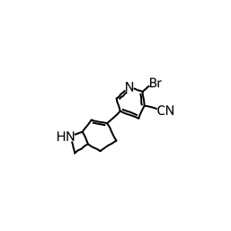 N#Cc1cc(C2=CC3NCC3CC2)cnc1Br